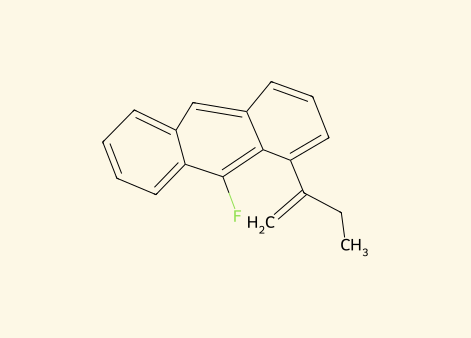 C=C(CC)c1cccc2cc3ccccc3c(F)c12